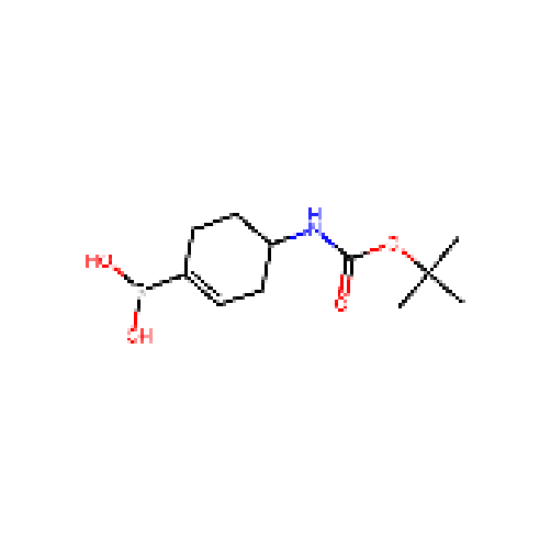 CC(C)(C)OC(=O)NC1CC=C(B(O)O)CC1